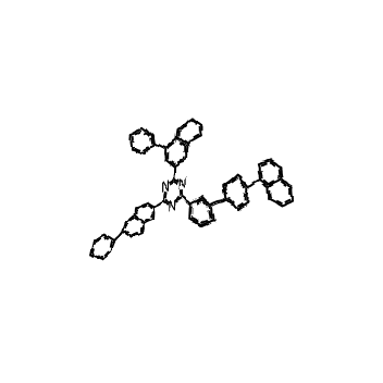 c1ccc(-c2ccc3cc(-c4nc(-c5cccc(-c6ccc(-c7cccc8ccccc78)cc6)c5)nc(-c5cc(-c6ccccc6)c6ccccc6c5)n4)ccc3c2)cc1